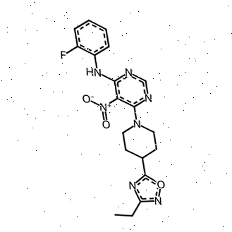 CCc1noc(C2CCN(c3ncnc(Nc4ccccc4F)c3[N+](=O)[O-])CC2)n1